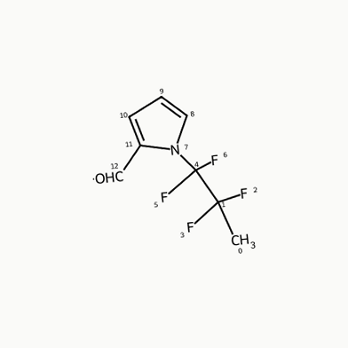 CC(F)(F)C(F)(F)n1cccc1[C]=O